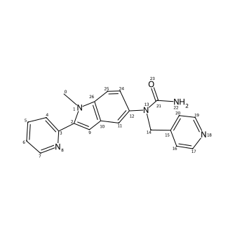 Cn1c(-c2ccccn2)cc2cc(N(Cc3ccncc3)C(N)=O)ccc21